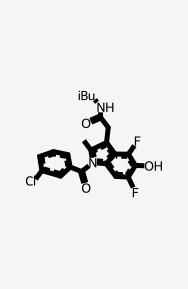 CCC(C)NC(=O)Cc1c(C)n(C(=O)c2cccc(Cl)c2)c2cc(F)c(O)c(F)c12